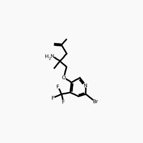 C=C(C)CC(C)(N)COc1cnc(Br)cc1C(F)(F)F